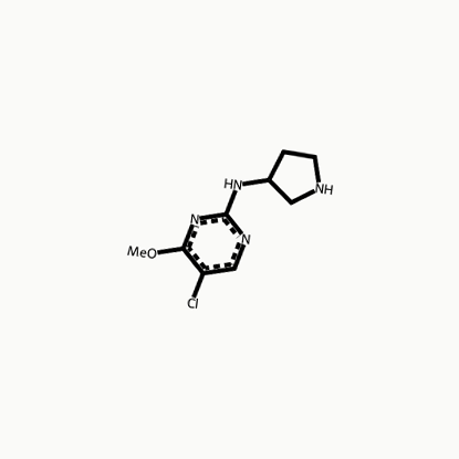 COc1nc(NC2CCNC2)ncc1Cl